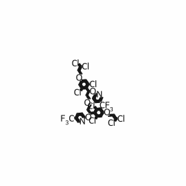 FC(F)(F)c1ccc(OC(CCOCCC(Oc2ccc(C(F)(F)F)cn2)c2c(Cl)cc(OCC=C(Cl)Cl)cc2Cl)c2c(Cl)cc(OCC=C(Cl)Cl)cc2Cl)nc1